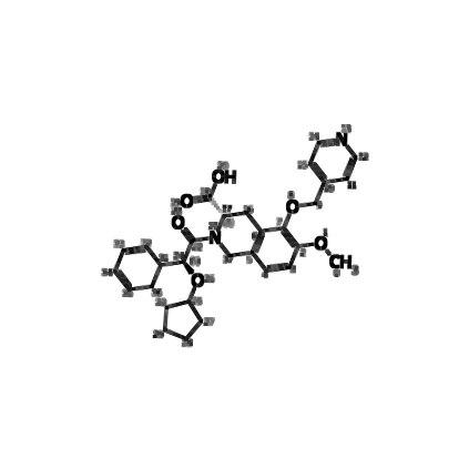 COc1ccc2c(c1OCc1ccncc1)C[C@@H](C(=O)O)N(C(=O)[C@@H](OC1CCCC1)C1C=CC=CC1)C2